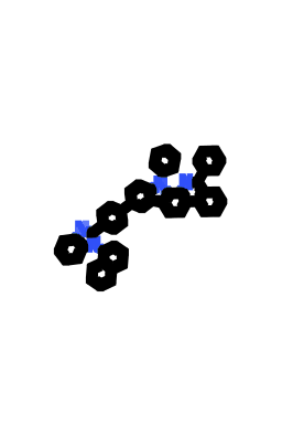 c1ccc(-c2nc3c(ccc4c5cc(-c6ccc(-c7nc8ccccc8n7-c7cccc8ccccc78)cc6)ccc5n(-c5ccccc5)c43)c3ccccc23)cc1